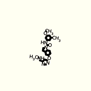 CNCc1cc(Oc2ccc3c(ccn3C(=O)Nc3cc(C)cc(OC)c3)c2)ncn1